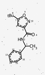 CC(NC(=O)c1cc(C(C)(C)C)on1)c1ccccc1